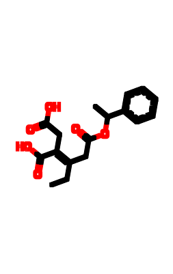 CCC(CC(=O)OC(C)c1ccccc1)=C(CC(=O)O)C(=O)O